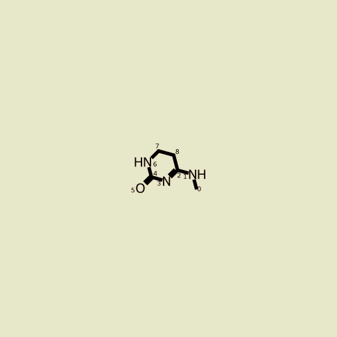 CNC1=NC(=O)NCC1